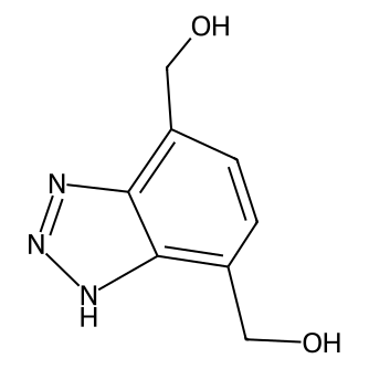 OCc1ccc(CO)c2[nH]nnc12